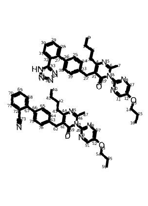 CCCCc1nc(C)n(-c2ncc(OCCC)cn2)c(=O)c1Cc1ccc(-c2ccccc2-c2nnn[nH]2)cc1.CCCCc1nc(C)n(-c2ncc(OCCC)cn2)c(=O)c1Cc1ccc(-c2ccccc2C#N)cc1